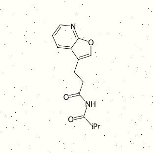 CC(C)C(=O)NC(=O)CCc1coc2ncccc12